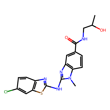 CC(O)CNC(=O)c1ccc2c(c1)nc(Nc1nc3ccc(Cl)cc3s1)n2C